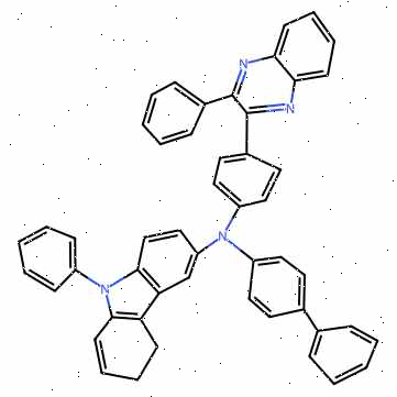 C1=Cc2c(c3cc(N(c4ccc(-c5ccccc5)cc4)c4ccc(-c5nc6ccccc6nc5-c5ccccc5)cc4)ccc3n2-c2ccccc2)CC1